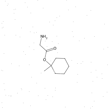 CC1(OC(=O)CN)CCCCC1